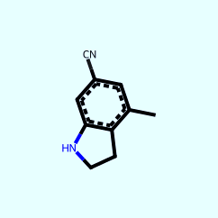 Cc1cc(C#N)cc2c1CCN2